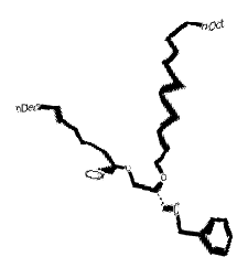 CCCCCCCC/C=C\CCCCCCCCO[C@H](COCc1ccccc1)COC(=O)CCCCCCCCCCCCCCC